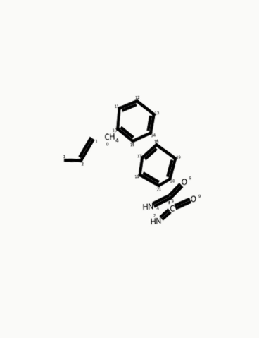 C.C=CC.N=C=O.N=C=O.c1ccccc1.c1ccccc1